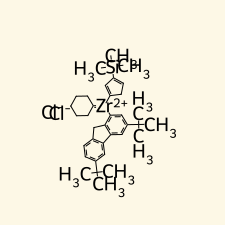 CC(C)(C)c1ccc2c(c1)-c1cc(C(C)(C)C)c[c]([Zr+2]([C]3=CC([Si](C)(C)C)=CC3)=[C]3CCCCC3)c1C2.[Cl-].[Cl-]